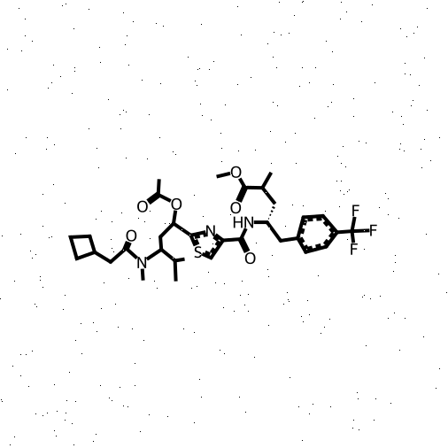 COC(=O)C(C)C[C@H](Cc1ccc(C(F)(F)F)cc1)NC(=O)c1csc(C(CC(C(C)C)N(C)C(=O)CC2CCC2)OC(C)=O)n1